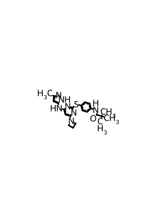 Cc1cc(Nc2cc(N3CCC3)nc(Sc3ccc(NC(=O)C(C)(C)C)cc3)n2)[nH]n1